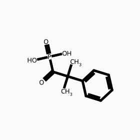 CC(C)(C(=O)P(=O)(O)O)c1ccccc1